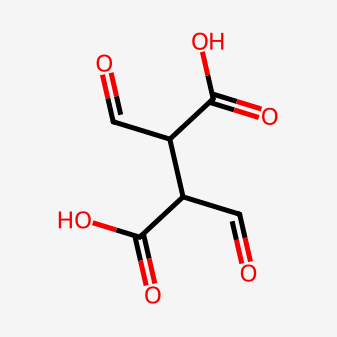 O=CC(C(=O)O)C(C=O)C(=O)O